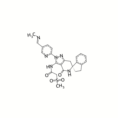 C/N=C/c1ccc(-n2nc3c(c2NC(=O)CS(C)(=O)=O)C(=O)N[C@@]2(CCc4ccccc42)C3)nc1